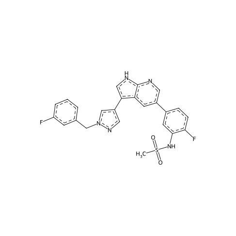 CS(=O)(=O)Nc1cc(-c2cnc3[nH]cc(-c4cnn(Cc5cccc(F)c5)c4)c3c2)ccc1F